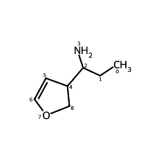 CCC(N)C1C=COC1